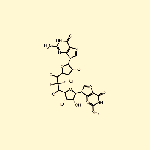 Nc1nc2c(ncn2[C@@H]2O[C@H](C([O])C(F)(F)C([O])[C@H]3O[C@@H](n4cnc5c(=O)[nH]c(N)nc54)[C@H](O)[C@@H]3O)[C@@H](O)[C@H]2O)c(=O)[nH]1